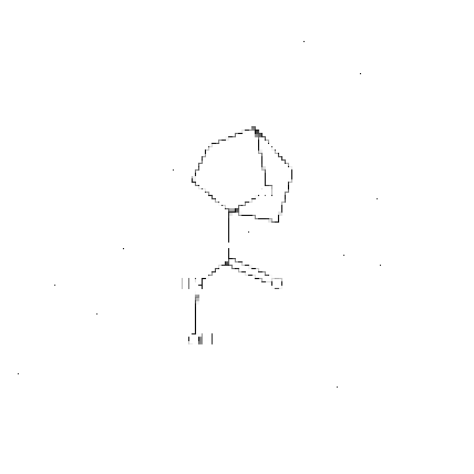 O=C(NO)C12CCC(CC1)O2